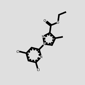 CCOC(=O)c1nn(-c2cc(Cl)cc(Cl)n2)cc1C